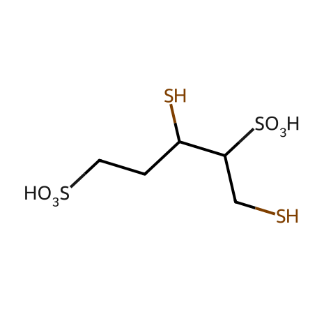 O=S(=O)(O)CCC(S)C(CS)S(=O)(=O)O